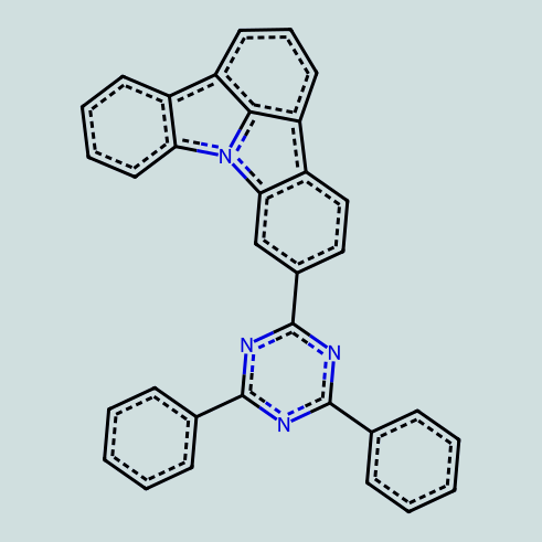 c1ccc(-c2nc(-c3ccccc3)nc(-c3ccc4c5cccc6c7ccccc7n(c4c3)c65)n2)cc1